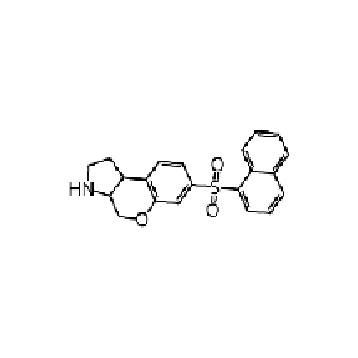 O=S(=O)(c1ccc2c(c1)OCC1NCCC21)c1cccc2ccccc12